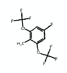 [CH2]c1c(OC(F)(F)F)cc(F)cc1OC(F)(F)F